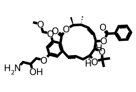 COCOc1cc(OCC(O)CN)cc2c1C(=O)O[C@@H](C)[C@H](C)/C=C\C(OC(=O)c1ccccc1)[C@H]1OC(C)(C)O[C@H]1C/C=C/2